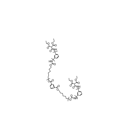 CCOC(=O)C(C(=O)NC(C)(C)c1cccc(C(C)(C)NC(=O)OCCCCCCC(C)(C)OC(=O)c2cccc(C(=O)OCCCCCCC(C)(C)OC(=O)NC(C)(C)c3cccc(C(C)(C)NC(=O)C(C(=O)OCC)C(=O)OCC)c3)c2)c1)C(=O)OCC